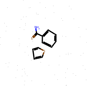 NC(=S)c1ccccc1.c1ccsc1